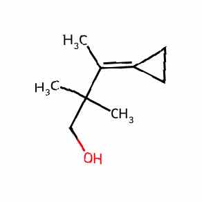 CC(=C1CC1)C(C)(C)CO